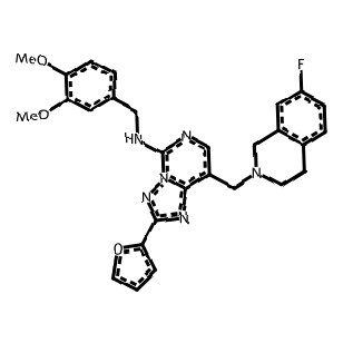 COc1ccc(CNc2ncc(CN3CCc4ccc(F)cc4C3)c3nc(-c4ccco4)nn23)cc1OC